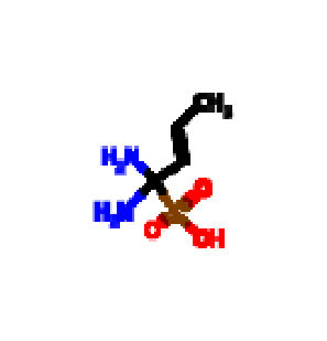 CC=CC(N)(N)S(=O)(=O)O